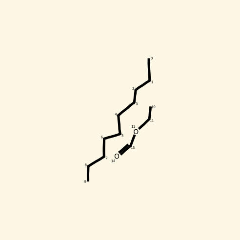 CCCCCCCCCC.CCOC=O